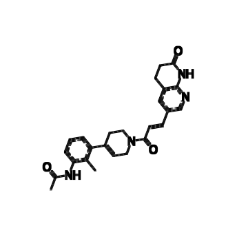 CC(=O)Nc1cccc(C2=CCN(C(=O)C=Cc3cnc4c(c3)CCC(=O)N4)CC2)c1C